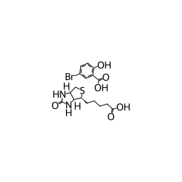 O=C(O)CCCC[C@@H]1SC[C@@H]2NC(=O)N[C@@H]21.O=C(O)c1cc(Br)ccc1O